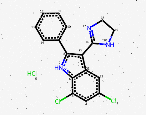 Cl.Clc1cc(Cl)c2[nH]c(-c3ccccc3)c(C3=NCCN3)c2c1